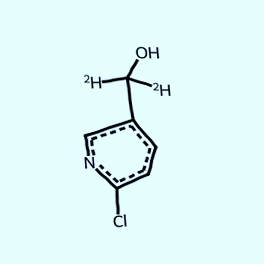 [2H]C([2H])(O)c1ccc(Cl)nc1